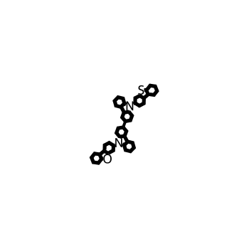 c1ccc2c(c1)oc1cc(-n3c4ccccc4c4cc(-c5ccc6c(c5)c5ccccc5n6-c5ccc6c(c5)sc5ccccc56)ccc43)ccc12